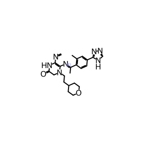 C=NC1=C(/N=C(\C)c2ccc(-c3nnc[nH]3)cc2C)N(CCC2CCOCC2)CC(=O)N1